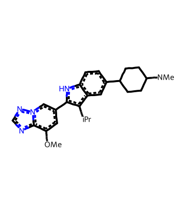 CNC1CCC(c2ccc3[nH]c(-c4cc(OC)c5ncnn5c4)c(C(C)C)c3c2)CC1